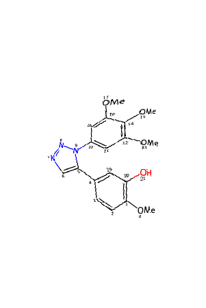 COc1ccc(-c2cnnn2-c2cc(OC)c(OC)c(OC)c2)cc1O